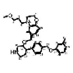 COCCCN1CCOc2ccc(COC3CNCCC3c3ccc(COc4cccc(C)c4)cc3)cc21